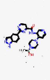 CB(O)N1CCN(c2ccncc2NC(=O)c2ccnc(-c3ccc4[nH]ncc4c3)n2)CC1